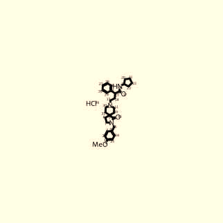 COc1ccc(CN2CCC3(CCN(CCC(C(=O)NC4CCCC4)c4ccccc4)CC3)C2=O)cc1.Cl